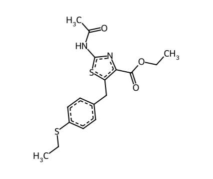 CCOC(=O)c1nc(NC(C)=O)sc1Cc1ccc(SCC)cc1